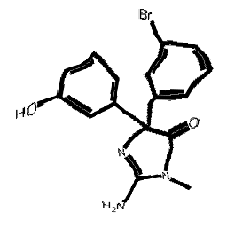 CN1C(=O)C(c2cccc(O)c2)(c2cccc(Br)c2)N=C1N